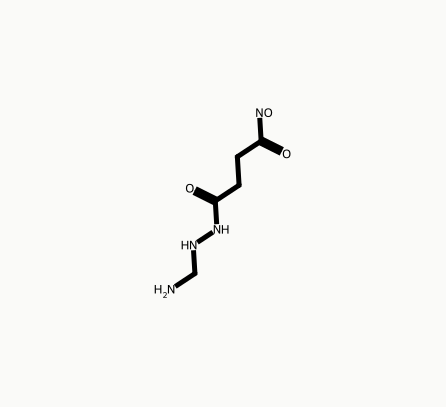 NCNNC(=O)CCC(=O)N=O